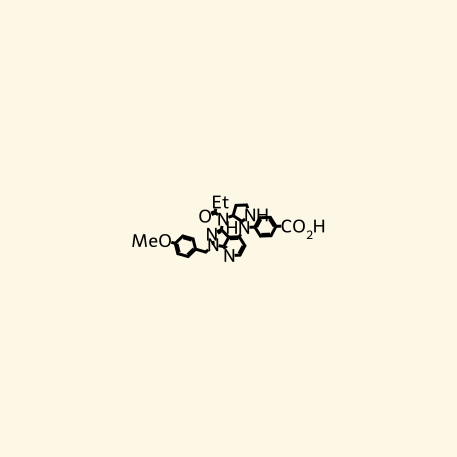 CCC(=O)N(c1nn(Cc2ccc(OC)cc2)c2nccc(Nc3ccc(C(=O)O)cc3)c12)C1CCNC1